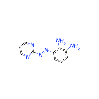 Nc1cccc(N=Nc2ncccn2)c1N